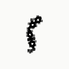 O=S(=O)(c1ccc(OC(F)(F)F)cc1)N1CC2C([CH]c3ccc(N4CCOCC4)c(F)c3)C2C1